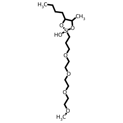 CCCCC1O[Si](O)(CCCOCCOCCOCCOC)OC1C